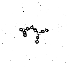 c1ccc(-c2ccc(-c3nc(-c4ccc(-c5ccccc5)cc4)nc(-c4ccc(-c5cccc(-c6ccc(-c7nc8ccccc8c8cc9ccccc9cc78)cc6)c5)cc4)n3)cc2)cc1